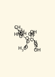 CCCCNC(=N)NC(=O)CCc1ccc(-c2ccc(CN3CCN(CCO)CC3)cc2)c(OCCCOC)c1.O=C(O)C(F)(F)F